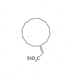 CCOC(=O)C=C1CCCCCCCCCCC1